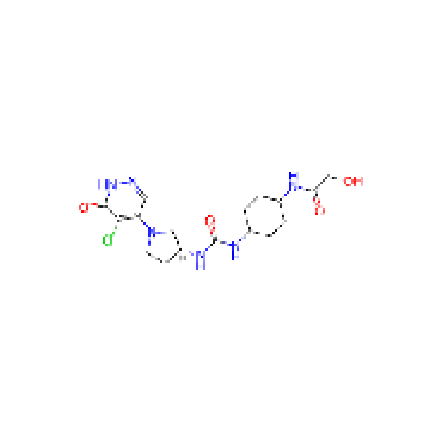 O=C(CO)NC1CCC(NC(=O)N[C@@H]2CCN(c3cn[nH]c(=O)c3Cl)C2)CC1